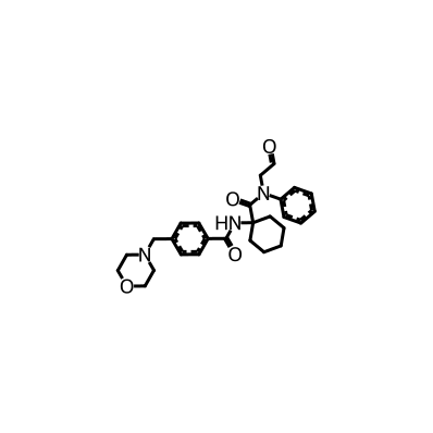 O=CCN(C(=O)C1(NC(=O)c2ccc(CN3CCOCC3)cc2)CCCCC1)c1ccccc1